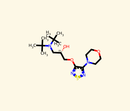 CC(C)(C)N(C[C@H](O)COc1nsnc1N1CCOCC1)C(C)(C)C